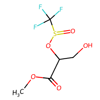 COC(=O)C(CO)OS(=O)C(F)(F)F